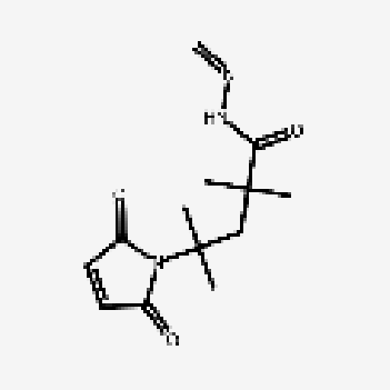 C=NNC(=O)C(C)(C)CC(C)(C)N1C(=O)C=CC1=O